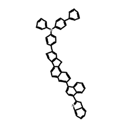 c1ccc(-c2ccc(N(c3ccccc3)c3ccc(-c4ccc5c(c4)Cc4c-5ccc5cc(-c6ccc(C7=Nc8ccccc8C7)c7ccccc67)ccc45)cc3)cc2)cc1